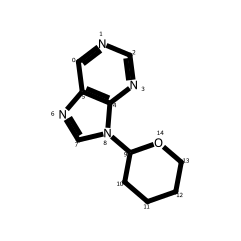 [c]1ncnc2c1ncn2C1CCCCO1